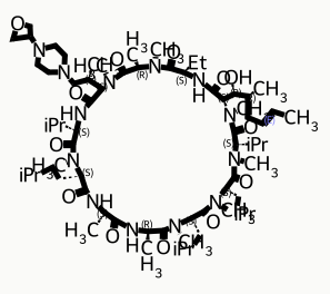 C/C=C/C[C@@H](C)[C@@H](O)[C@H]1C(=O)N[C@@H](CC)C(=O)N(C)[C@H](C)C(=O)N(C)[C@@H]([C@@H](C)CN2CCN(C3COC3)CC2)C(=O)N[C@@H](C(C)C)C(=O)N(C)[C@@H](CCC(C)C)C(=O)N[C@@H](C)C(=O)N[C@H](C)C(=O)N(C)[C@@H](CC(C)C)C(=O)N(C)[C@@H](CC(C)C)C(=O)N(C)[C@@H](C(C)C)C(=O)N1C